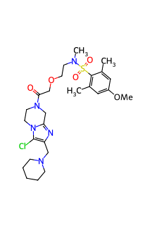 COc1cc(C)c(S(=O)(=O)N(C)CCOCC(=O)N2CCn3c(nc(CN4CCCCC4)c3Cl)C2)c(C)c1